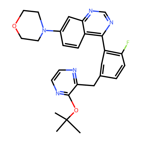 CC(C)(C)Oc1nccnc1Cc1ccc(F)c(-c2ncnc3cc(N4CCOCC4)ccc23)c1